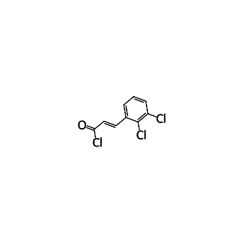 O=C(Cl)/C=C/c1cccc(Cl)c1Cl